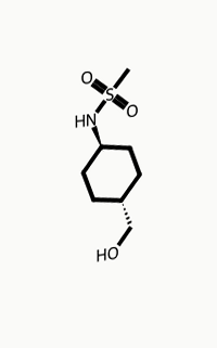 CS(=O)(=O)N[C@H]1CC[C@H](CO)CC1